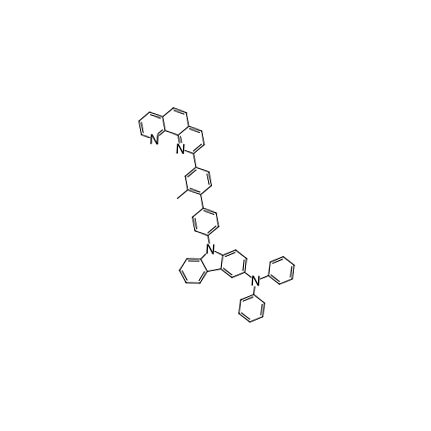 Cc1cc(-c2ccc3ccc4cccnc4c3n2)ccc1-c1ccc(-n2c3ccccc3c3cc(N(c4ccccc4)c4ccccc4)ccc32)cc1